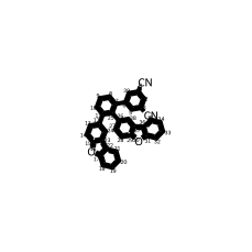 N#Cc1cc(C#N)cc(-c2cccc(-c3ccc4oc5ccccc5c4c3)c2-c2ccc3oc4ccccc4c3c2)c1